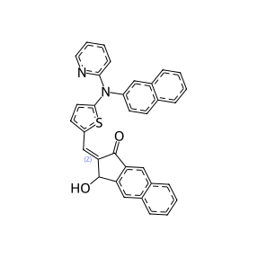 O=C1/C(=C\c2ccc(N(c3ccc4ccccc4c3)c3ccccn3)s2)C(O)c2cc3ccccc3cc21